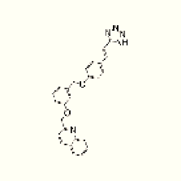 C(=C\c1nnn[nH]1)/c1ccc(OCc2cccc(OCc3ccc4ccccc4n3)c2)cc1